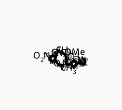 CO[C@H]1CN(C)C(=O)c2cc([N+](=O)[O-])ccc2OC[C@H](C)N(Cc2ccc(-c3ccccn3)cc2)C[C@@H]1C